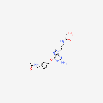 BCC(=O)NCCCn1cnc2c(OCc3ccc(CNC(C)=O)cc3)nc(N)nc21